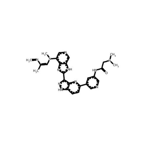 C=N/C(C)=C\N(C)c1cncc2[nH]c(-c3n[nH]c4ccc(-c5cncc(NC(=O)CN(C)C)c5)nc34)nc12